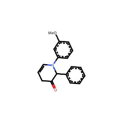 COc1cccc(N2C=CCC(=O)C2c2ccccc2)c1